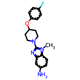 Cn1c(N2CCC(Oc3ccc(F)cc3)CC2)nc2cc(N)ccc21